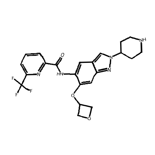 O=C(Nc1cc2cn(C3CCNCC3)nc2cc1OC1COC1)c1cccc(C(F)(F)F)n1